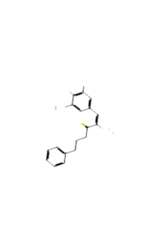 CC(C)c1cc(/C=C(/C#N)C(=S)CCCc2ccccc2)cc(C(C)C)c1O